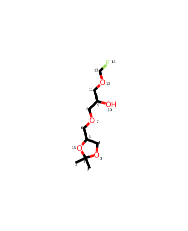 CC1(C)OCC(COCC(O)COCF)O1